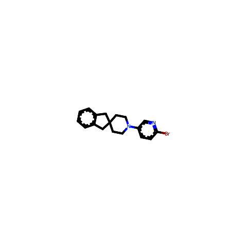 Brc1ccc(N2CCC3(CC2)Cc2ccccc2C3)cn1